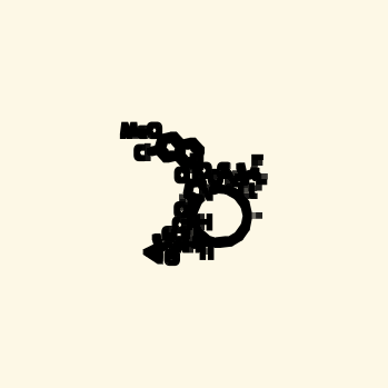 CC[C@@H]1C[C@H](C)CC/C=C\[C@@H]2C[C@@]2(C(=O)NS(=O)(=O)C2(C)CC2)NC(=O)[C@@H]2C[C@@H](Oc3nccc4cc(OC)c(Cl)cc34)CN2C(=O)[C@H]1N(C(=O)O)C(C)(C)C(F)F